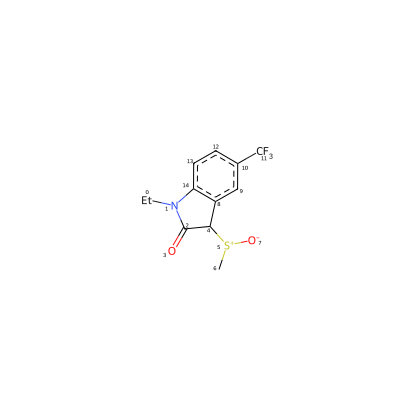 CCN1C(=O)C([S+](C)[O-])c2cc(C(F)(F)F)ccc21